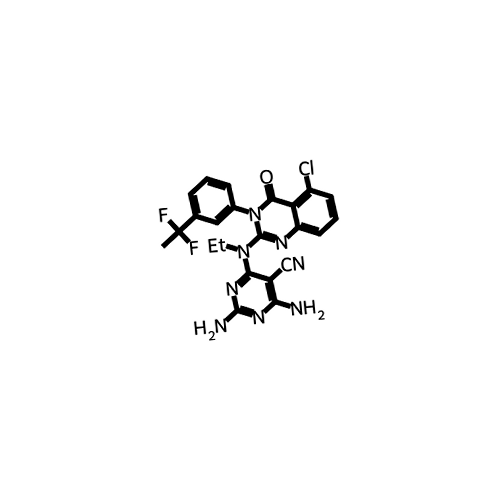 CCN(c1nc(N)nc(N)c1C#N)c1nc2cccc(Cl)c2c(=O)n1-c1cccc(C(C)(F)F)c1